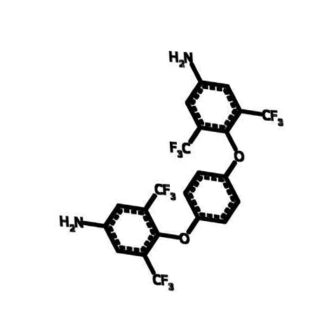 Nc1cc(C(F)(F)F)c(Oc2ccc(Oc3c(C(F)(F)F)cc(N)cc3C(F)(F)F)cc2)c(C(F)(F)F)c1